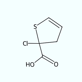 O=C(O)C1(Cl)CC=CS1